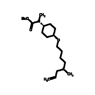 C=CCN(C)CCCCO[C@H]1CC[C@H](N(C)C(=O)OCC(C)C)CC1